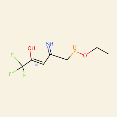 CCOPCC(=N)/C=C(\O)C(F)(F)F